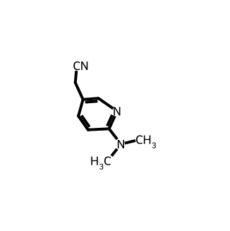 CN(C)c1ccc(CC#N)cn1